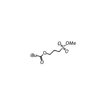 CCC(C)C(=O)OCCCS(=O)(=O)OC